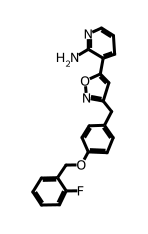 Nc1ncccc1-c1cc(Cc2ccc(OCc3ccccc3F)cc2)no1